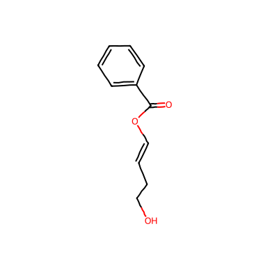 O=C(OC=CCCO)c1ccccc1